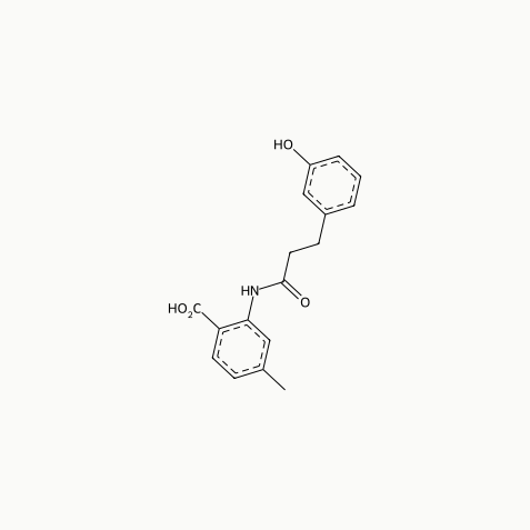 Cc1ccc(C(=O)O)c(NC(=O)CCc2cccc(O)c2)c1